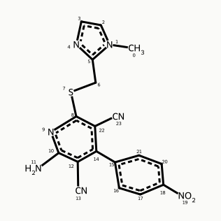 Cn1ccnc1CSc1nc(N)c(C#N)c(-c2ccc([N+](=O)[O-])cc2)c1C#N